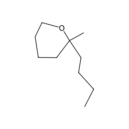 CCCCC1(C)CCCCO1